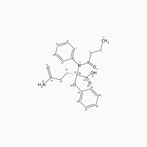 CCCC(=O)N(c1ccccc1)[C@](CCC(N)=O)(Oc1ccccc1)C(=O)O